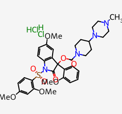 COc1ccc(S(=O)(=O)N2C(=O)C(OC(=O)N3CCC(N4CCN(C)CC4)CC3)(c3ccccc3OC)c3cc(OC)ccc32)c(OC)c1.Cl.Cl